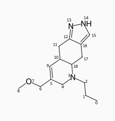 CCCN1CC(COC)=CC2Cc3n[nH]cc3CC21